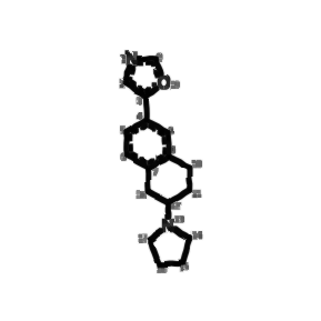 c1ncc(-c2ccc3c(c2)CCC(N2CCCC2)C3)o1